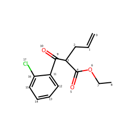 C=CCC(C(=O)OCC)C(=O)c1ccccc1Cl